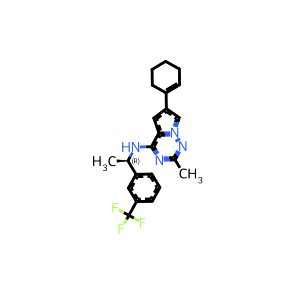 Cc1nc(N[C@H](C)c2cccc(C(F)(F)F)c2)c2cc(C3=CCCCC3)cn2n1